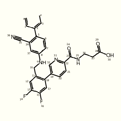 C=C/C(=C\C)c1ccc(NCc2cc(F)c(F)cc2-c2ccc(C(=O)NCCC(=O)O)nc2)cc1C#N